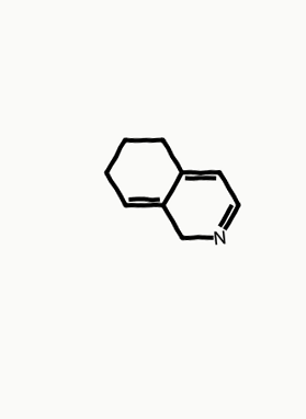 C1=NCC2=CCCCC2=C1